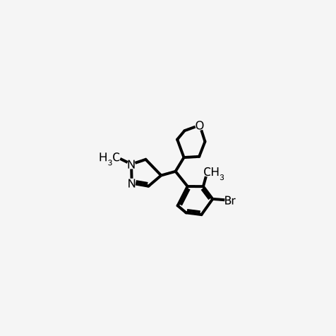 Cc1c(Br)cccc1C(C1C=NN(C)C1)C1CCOCC1